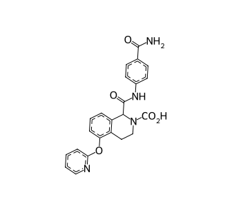 NC(=O)c1ccc(NC(=O)C2c3cccc(Oc4ccccn4)c3CCN2C(=O)O)cc1